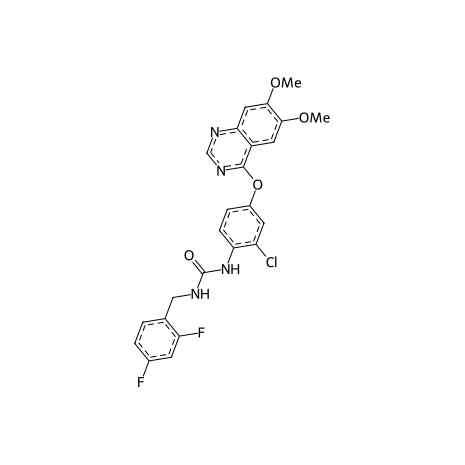 COc1cc2ncnc(Oc3ccc(NC(=O)NCc4ccc(F)cc4F)c(Cl)c3)c2cc1OC